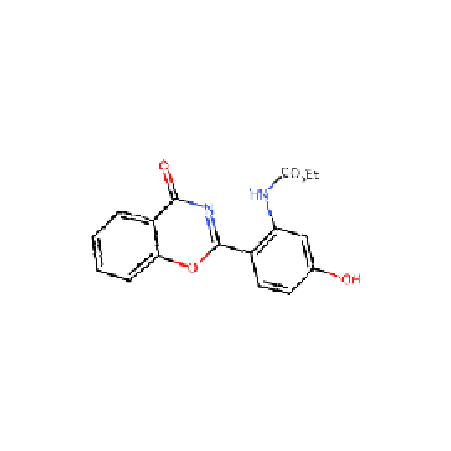 CCOC(=O)Nc1cc(O)ccc1-c1nc(=O)c2ccccc2o1